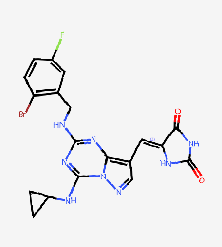 O=C1NC(=O)/C(=C/c2cnn3c(NC4CC4)nc(NCc4cc(F)ccc4Br)nc23)N1